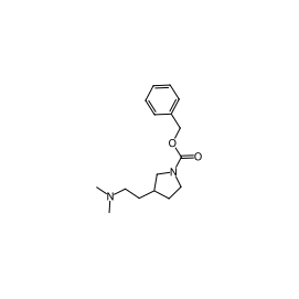 CN(C)CCC1CCN(C(=O)OCc2ccccc2)C1